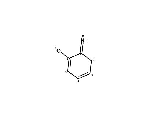 N=C1CC=CC=C1[O]